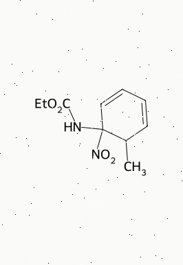 CCOC(=O)NC1([N+](=O)[O-])C=CC=CC1C